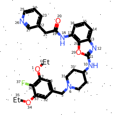 CCOc1cc(CN2CCC(Nc3nc4cccc(NC(=O)Cc5cccnc5)c4o3)CC2)cc(OCC)c1F